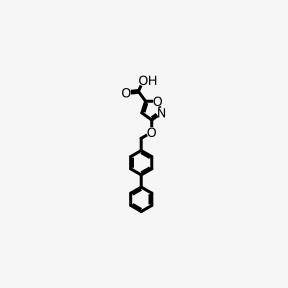 O=C(O)c1cc(OCc2ccc(-c3ccccc3)cc2)no1